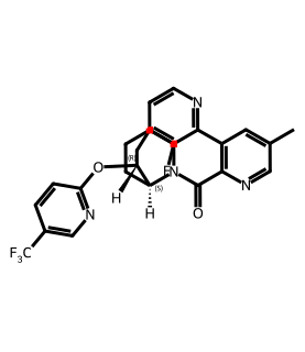 Cc1cnc(C(=O)N2CC3CC[C@H]2[C@H](Oc2ccc(C(F)(F)F)cn2)C3)c(-c2ncccc2F)c1